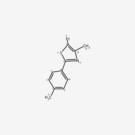 CCc1sc(-c2ccc(C)cc2)nc1C